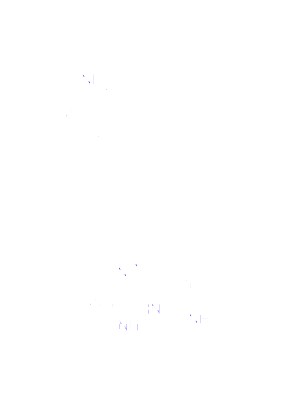 NC(=O)COc1cccc(-c2ccc(-n3cc(NC(N)=O)c(C(N)=O)n3)cc2)c1